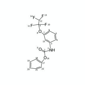 O=C(Nc1cccc(OC(F)(F)C(F)F)c1)Oc1ccccc1